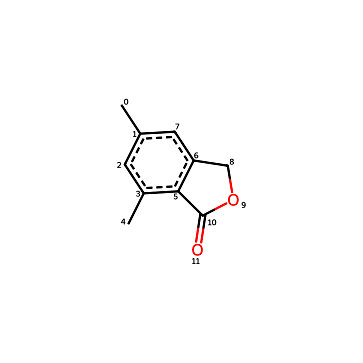 Cc1cc(C)c2c(c1)COC2=O